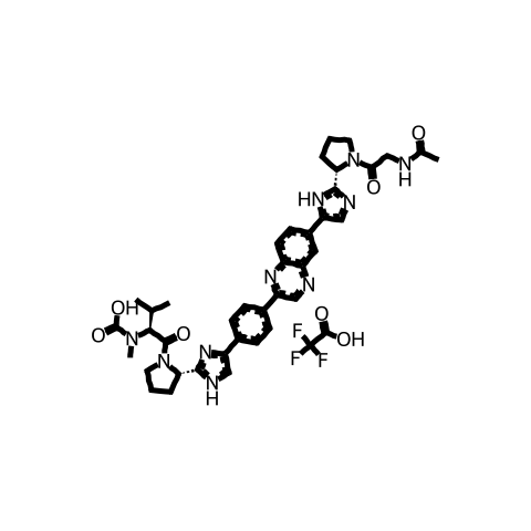 CC(=O)NCC(=O)N1CCC[C@H]1c1ncc(-c2ccc3nc(-c4ccc(-c5c[nH]c([C@@H]6CCCN6C(=O)[C@H](C(C)C)N(C)C(=O)O)n5)cc4)cnc3c2)[nH]1.O=C(O)C(F)(F)F